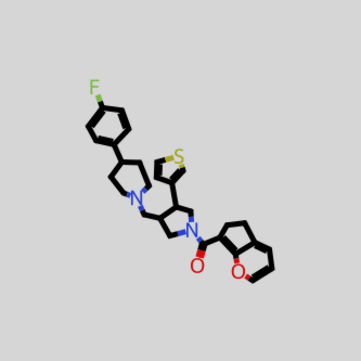 O=C(C1=C2OC=CC=C2CC1)N1CC(CN2CCC(c3ccc(F)cc3)CC2)C(c2ccsc2)C1